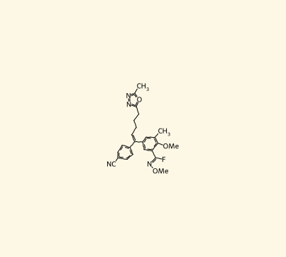 CO/N=C(\F)c1cc(/C(=C\CCCc2nnc(C)o2)c2ccc(C#N)cc2)cc(C)c1OC